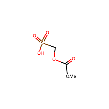 COC(=O)OCS(=O)(=O)O